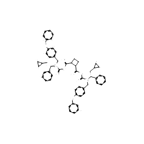 O=C(OC(=O)N(Cc1ccc(Oc2ccccc2)cc1)[C@@H](CC1CC1)c1ccccc1)C1CCC1C(=O)OC(=O)N(Cc1ccc(Oc2ccccc2)cc1)[C@@H](CC1CC1)c1ccccc1